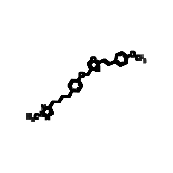 Cn1ncc(CCCCc2ccc(OCc3coc(C=Cc4ccc(OC(F)(F)F)cc4)n3)cc2)n1